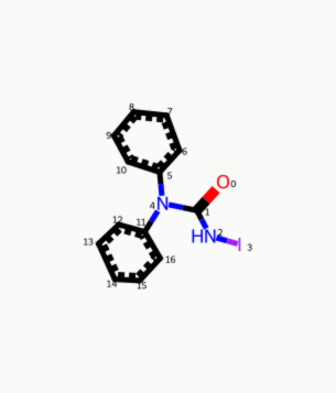 O=C(NI)N(c1ccccc1)c1ccccc1